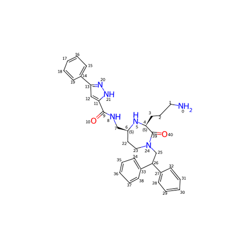 NCCC[C@@H]1N[C@H](CNC(=O)c2cc(-c3ccccc3)n[nH]2)CCN(CC(c2ccccc2)c2ccccc2)C1=O